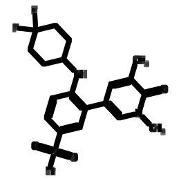 CCS(=O)(=O)c1ccc(NC2CCC(F)(F)CC2)c(-c2cc(C)c(=O)n(C)c2)c1